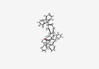 c1ccc([Si](c2ccccc2)(c2ccccc2)c2ccc(-c3ccccc3-n3c4ccccc4c4cc(-n5c6ccccc6c6ccccc65)ccc43)cn2)cc1